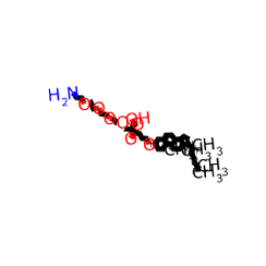 CC(C)CCC[C@@H](C)[C@H]1CCC2C3CC=C4C[C@@H](OCCCC(=O)C(COCCOCCOCCOCCN)C(=O)O)CC[C@]4(C)C3CC[C@@]21C